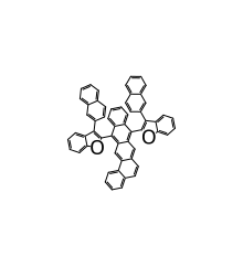 c1ccc2cc(-c3c(-c4c5ccccc5c(-c5oc6ccccc6c5-c5ccc6ccccc6c5)c5cc6c(ccc7ccccc76)cc45)oc4ccccc34)ccc2c1